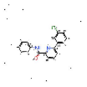 O=C(Nc1ccccc1)c1cccc(-c2cccc(Cl)c2)n1